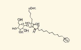 CCCCCCCCCCCCCC[C@@H](O)[C@@H](O)[C@H](COC1OC(CO)C(O)C(O)C1O)NC(=O)CCCCCCCCCCC12CCC(CC1)CC2